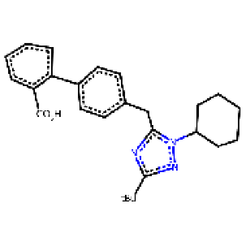 CC(C)(C)c1nc(Cc2ccc(-c3ccccc3C(=O)O)cc2)n(C2CCCCC2)n1